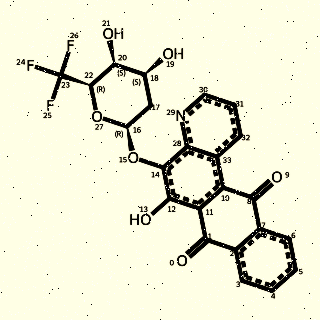 O=C1c2ccccc2C(=O)c2c1c(O)c(O[C@@H]1C[C@H](O)[C@H](O)[C@H](C(F)(F)F)O1)c1ncccc21